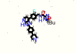 CN1CC=C(c2ccc(-c3nc4c(-c5ccc(CNC(=O)c6noc(C(C)(C)C)n6)c(F)c5)ccnc4[nH]3)cc2)CC1